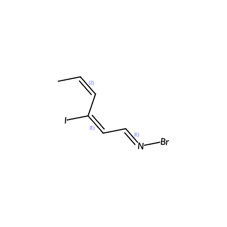 C\C=C/C(I)=C\C=N\Br